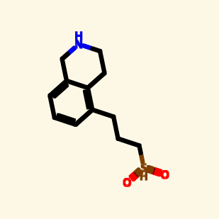 O=[SH](=O)CCCc1cccc2c1CCNC2